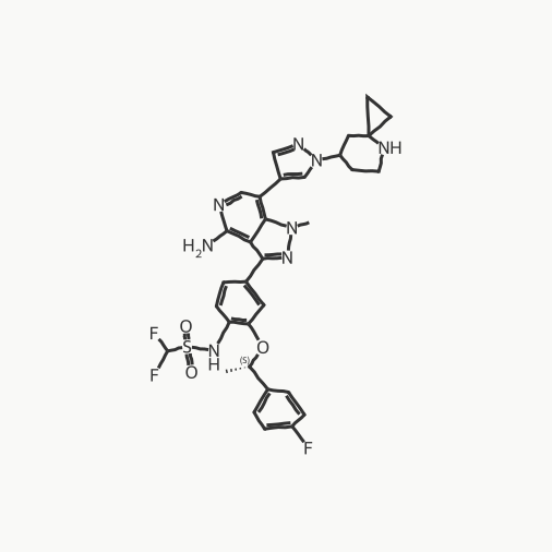 C[C@H](Oc1cc(-c2nn(C)c3c(-c4cnn(C5CCNC6(CC6)C5)c4)cnc(N)c23)ccc1NS(=O)(=O)C(F)F)c1ccc(F)cc1